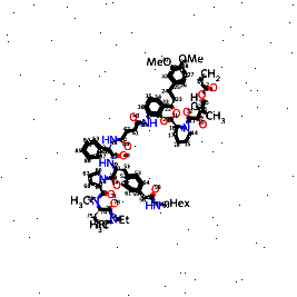 C=CC(=O)OCC(C)(C)C(=O)C(=O)N1CCCC[C@H]1C(=O)O[C@H](CCc1ccc(OC)c(OC)c1)c1cccc(NC(=O)CCC(=O)N[C@H](C(=O)N[C@@H](Cc2ccc(CC(=O)NCCCCCC)cc2)C(=O)N2CCC[C@@H]2C(=O)N(C)[C@@H](CC(C)C)C(=O)N(C)CC)c2ccccc2)c1